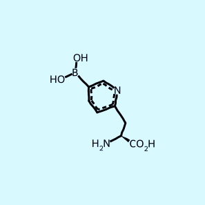 N[C@@H](Cc1ccc(B(O)O)cn1)C(=O)O